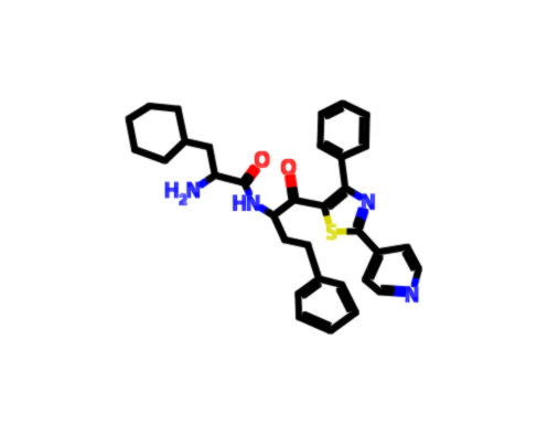 NC(CC1CCCCC1)C(=O)NC(CCc1ccccc1)C(=O)c1sc(-c2ccncc2)nc1-c1ccccc1